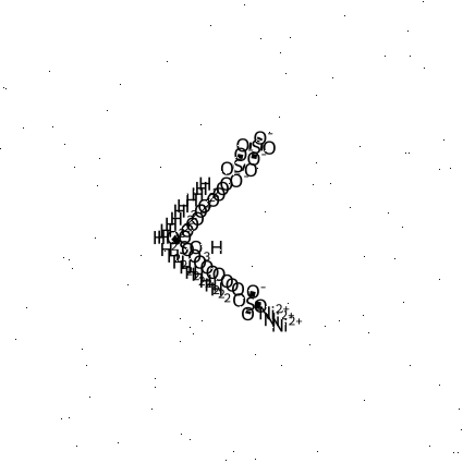 O.O.O.O.O.O.O.O.O.O.O.O.O.O.O.O.O.O.O.O=S(=O)(O)O.O=S(=O)([O-])[O-].O=S(=O)([O-])[O-].O=S(=O)([O-])[O-].[Ni+2].[Ni+2].[Ni+2]